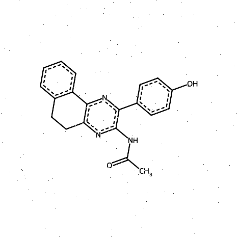 CC(=O)Nc1nc2c(nc1-c1ccc(O)cc1)-c1ccccc1CC2